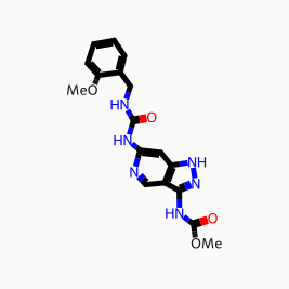 COC(=O)Nc1n[nH]c2cc(NC(=O)NCc3ccccc3OC)ncc12